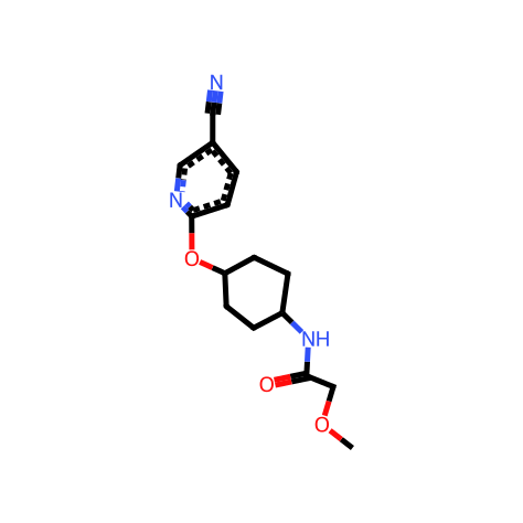 COCC(=O)NC1CCC(Oc2ccc(C#N)cn2)CC1